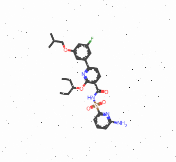 CCC(CC)Oc1nc(-c2cc(F)cc(OCC(C)C)c2)ccc1C(=O)NS(=O)(=O)c1cccc(N)n1